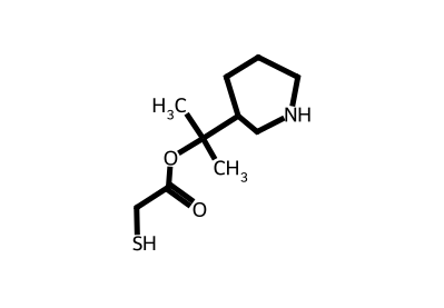 CC(C)(OC(=O)CS)C1CCCNC1